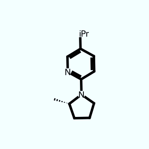 CC(C)c1ccc(N2CCC[C@@H]2C)nc1